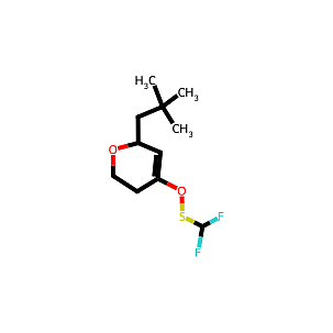 CC(C)(C)CC1C=C(OSC(F)F)CCO1